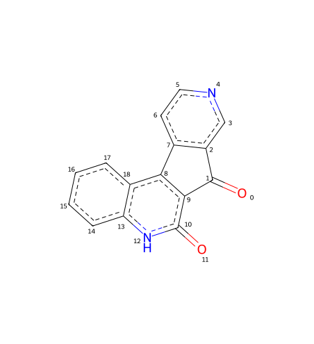 O=C1c2cnccc2-c2c1c(=O)[nH]c1ccccc21